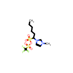 CCCCCC(N1C=CN(C)C1)S(=O)(=O)OS(=O)(=O)C(F)(F)F